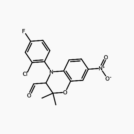 CC1(C)Oc2cc([N+](=O)[O-])ccc2N(c2ccc(F)cc2Cl)C1C=O